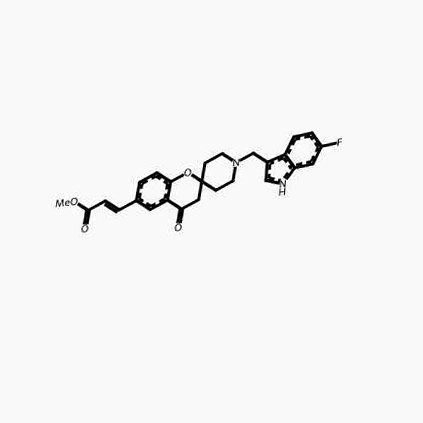 COC(=O)/C=C/c1ccc2c(c1)C(=O)CC1(CCN(Cc3c[nH]c4cc(F)ccc34)CC1)O2